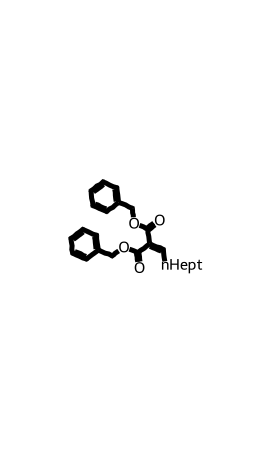 CCCCCCCC=C(C(=O)OCc1ccccc1)C(=O)OCc1ccccc1